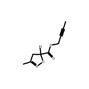 CC#CCOC(=O)C1(CC)CC(C)=NO1